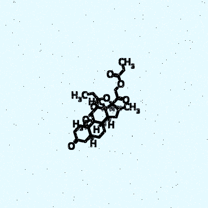 CCC(=O)OCC(=O)[C@]1(OC(=O)CC)[C@@H](C)C[C@H]2[C@@H]3CC[C@H]4CC(=O)CC[C@]4(C)C34OC4C[C@@]21C